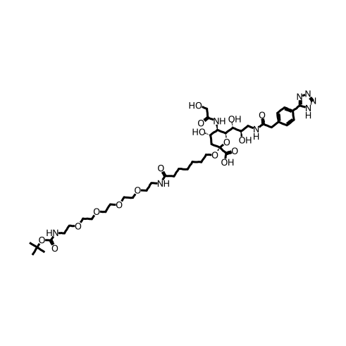 CC(C)(C)OC(=O)NCCOCCOCCOCCOCCNC(=O)CCCCCCO[C@]1(C(=O)O)C[C@H](O)[C@@H](NC(=O)CO)[C@H]([C@H](O)[C@H](O)CNC(=O)Cc2ccc(-c3nnn[nH]3)cc2)O1